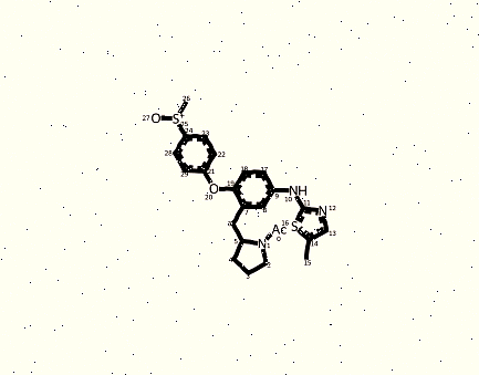 CC(=O)N1CCCC1Cc1cc(Nc2ncc(C)s2)ccc1Oc1ccc([S+](C)[O-])cc1